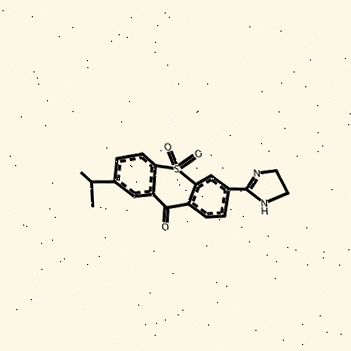 CC(C)c1ccc2c(c1)C(=O)c1ccc(C3=NCCN3)cc1S2(=O)=O